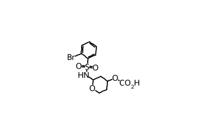 O=C(O)OC1CCOC(NS(=O)(=O)c2ccccc2Br)C1